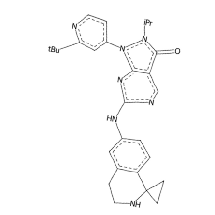 CC(C)n1c(=O)c2cnc(Nc3ccc4c(c3)CCNC43CC3)nc2n1-c1ccnc(C(C)(C)C)c1